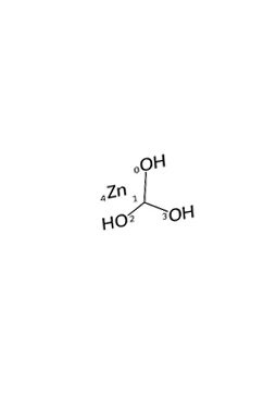 OC(O)O.[Zn]